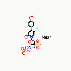 COc1ccc(-c2cc(=O)n(CC[C@](C)(C(=O)NOP(=O)([O-])[O-])S(C)(=O)=O)cc2F)c(F)c1.[Na+].[Na+]